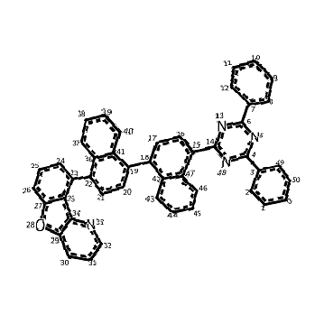 c1ccc(-c2nc(-c3ccccc3)nc(-c3ccc(-c4ccc(-c5cccc6oc7cccnc7c56)c5ccccc45)c4ccccc34)n2)cc1